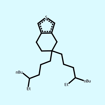 CCCCC(CC)CCCC1(CCCC(CC)CCCC)CCc2cscc2C1